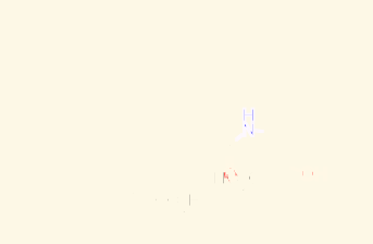 O=C(NC(Cc1ccccc1)C(O)C(=O)O)c1cccc(-c2cc(F)ccc2C(=O)O)c1